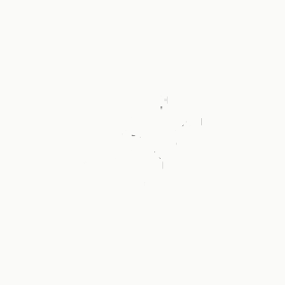 OC1C(c2ccccc2)[C@@]2(O)[C@@H]1O[C@H](O)[C@H](O)[C@H]2O